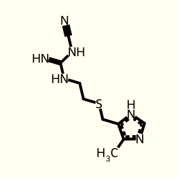 Cc1nc[nH]c1CSCCNC(=N)NC#N